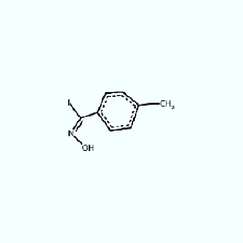 Cc1ccc(/C(I)=N\O)cc1